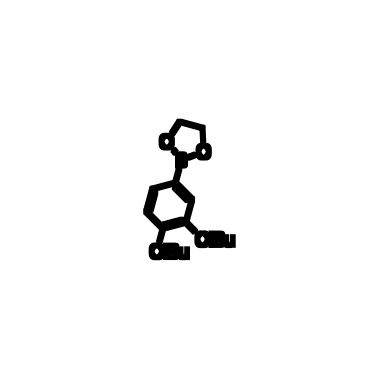 CC(C)COc1ccc(B2OCCO2)cc1OCC(C)C